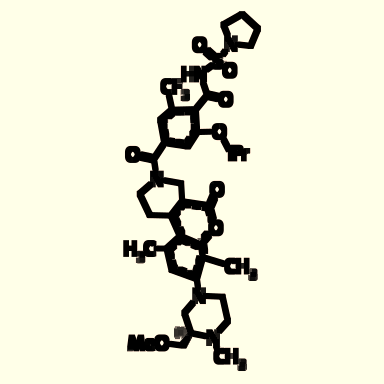 COC[C@H]1CN(c2cc(C)c3c4c(c(=O)oc3c2C)CN(C(=O)c2cc(OC(C)C)c(C(=O)NS(=O)(=O)N3CCCC3)c(C(F)(F)F)c2)CC4)CCN1C